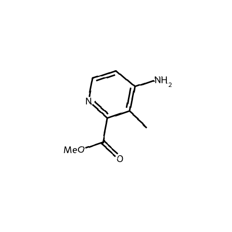 COC(=O)c1nccc(N)c1C